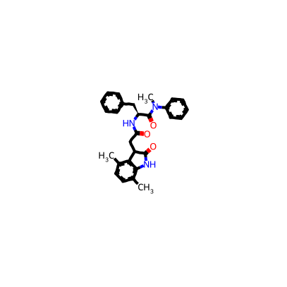 Cc1ccc(C)c2c1NC(=O)C2CC(=O)N[C@@H](Cc1ccccc1)C(=O)N(C)c1ccccc1